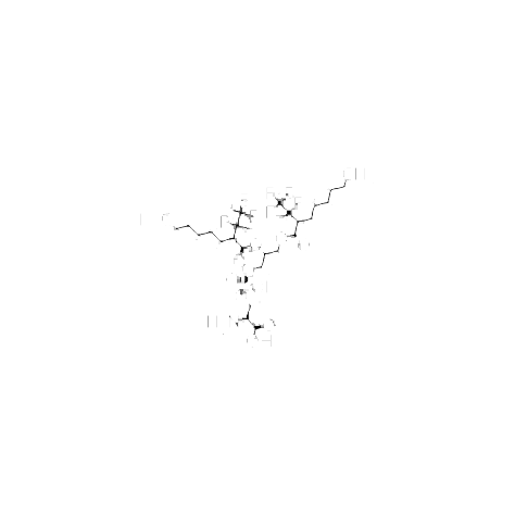 CCCCCCC(C(=O)OCC(COP(=O)(O)OCC(N)C(=O)O)OC(=O)C(CCCCCC)C(F)(F)C(F)(F)F)C(F)(F)C(F)(F)F